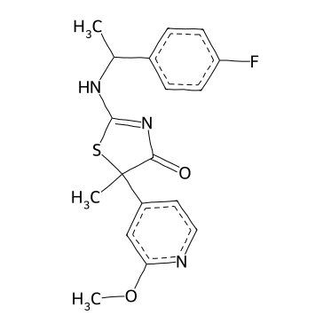 COc1cc(C2(C)SC(NC(C)c3ccc(F)cc3)=NC2=O)ccn1